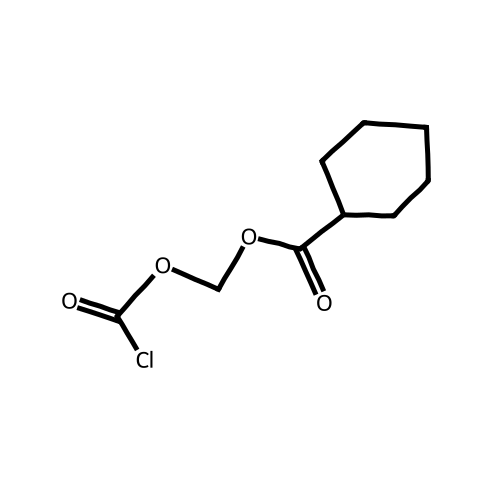 O=C(Cl)OCOC(=O)C1CCCCC1